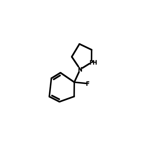 FC1(N2CCCP2)C=CC=CC1